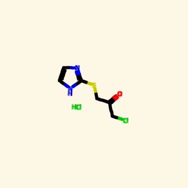 Cl.O=C(CCl)CSc1ncc[nH]1